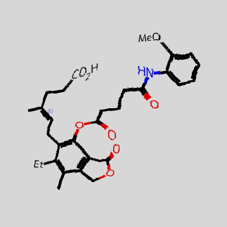 CCc1c(C)c2c(c(OC(=O)CCCC(=O)Nc3ccccc3OC)c1C/C=C(\C)CCC(=O)O)C(=O)OC2